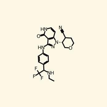 CCNC(c1ccc(Nc2nn([C@H]3COCCC3C#N)c3cc[nH]c(=O)c23)cc1)C(F)(F)F